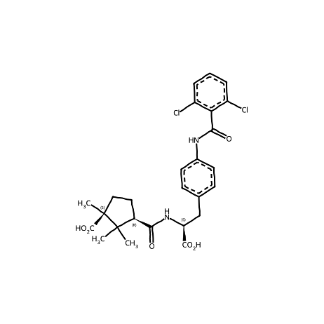 CC1(C)[C@H](C(=O)N[C@@H](Cc2ccc(NC(=O)c3c(Cl)cccc3Cl)cc2)C(=O)O)CC[C@]1(C)C(=O)O